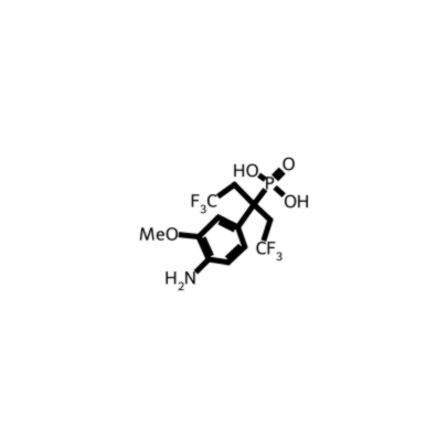 COc1cc(C(CC(F)(F)F)(CC(F)(F)F)P(=O)(O)O)ccc1N